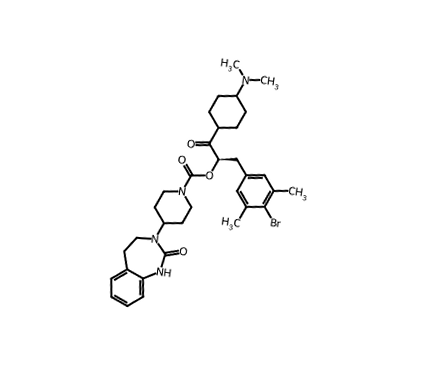 Cc1cc(C[C@@H](OC(=O)N2CCC(N3CCc4ccccc4NC3=O)CC2)C(=O)C2CCC(N(C)C)CC2)cc(C)c1Br